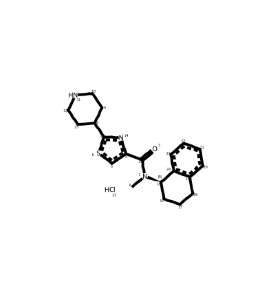 CN(C(=O)c1csc(C2CCNCC2)n1)[C@@H]1CCCc2ccccc21.Cl